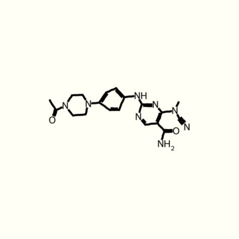 CC(=O)N1CCN(c2ccc(Nc3ncc(C(N)=O)c(N(C)C#N)n3)cc2)CC1